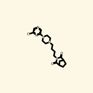 O=C1C2CCC(C2)C(=O)N1CCCCN1CCN(c2cncc(Cl)n2)CC1